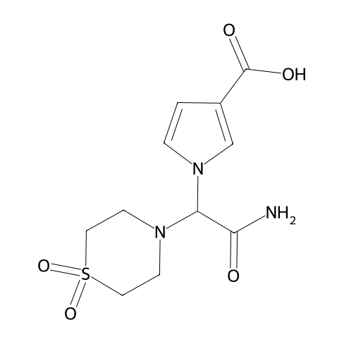 NC(=O)C(N1CCS(=O)(=O)CC1)n1ccc(C(=O)O)c1